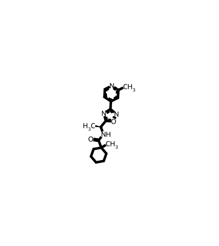 Cc1cc(-c2noc([C@H](C)NC(=O)C3(C)CCCCC3)n2)ccn1